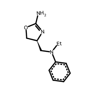 CCN(C[C@H]1COC(N)=N1)c1ccccc1